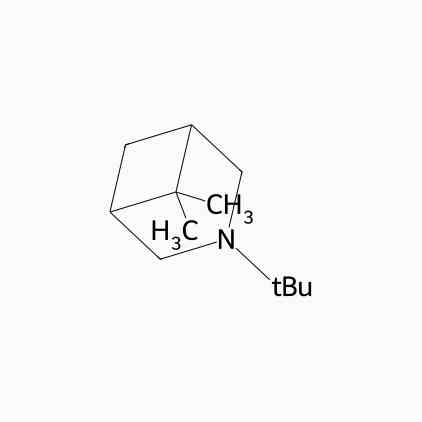 CC1(C)C2CC1CN(C(C)(C)C)C2